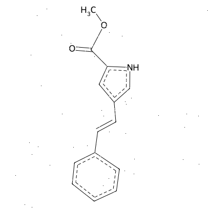 COC(=O)c1cc(C=Cc2ccccc2)c[nH]1